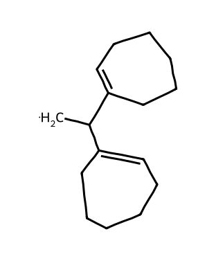 [CH2]C(C1=CCCCCC1)C1=CCCCCC1